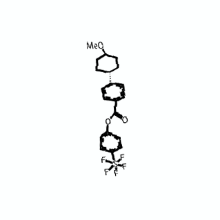 CO[C@H]1CC[C@H](c2ccc(C(=O)Oc3ccc(S(F)(F)(F)(F)F)cc3)cc2)CC1